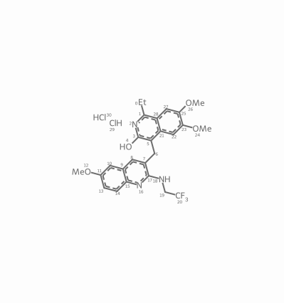 CCc1nc(O)c(Cc2cc3cc(OC)ccc3nc2NCC(F)(F)F)c2cc(OC)c(OC)cc12.Cl.Cl